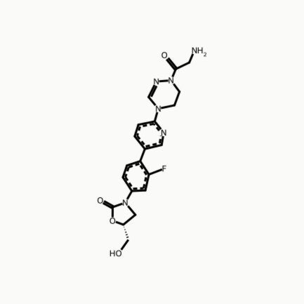 NCC(=O)N1CCN(c2ccc(-c3ccc(N4C[C@H](CO)OC4=O)cc3F)cn2)C=N1